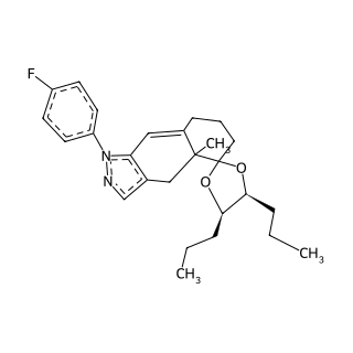 CCC[C@@H]1OC2(CCCC3=Cc4c(cnn4-c4ccc(F)cc4)CC32C)O[C@@H]1CCC